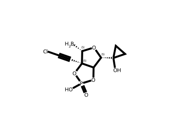 B[C@@H]1O[C@H](C2(O)CC2)C2OP(=O)(O)O[C@]21C#CCl